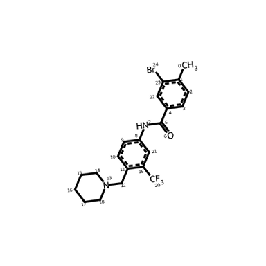 Cc1ccc(C(=O)Nc2ccc(CN3CCCCC3)c(C(F)(F)F)c2)cc1Br